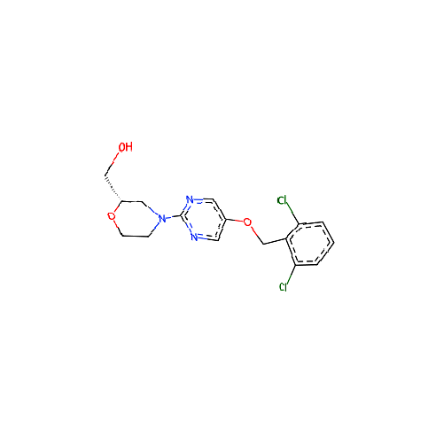 OC[C@@H]1CN(c2ncc(OCc3c(Cl)cccc3Cl)cn2)CCO1